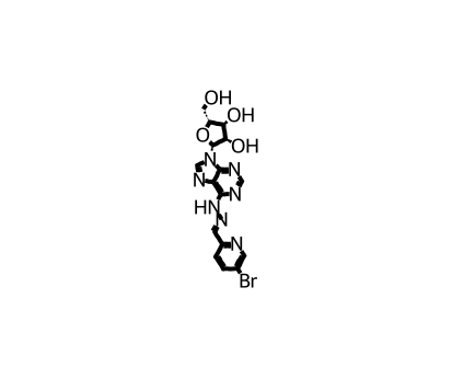 OC[C@H]1O[C@@H](n2cnc3c(N/N=C/c4ccc(Br)cn4)ncnc32)[C@H](O)[C@@H]1O